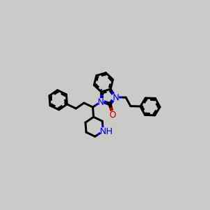 O=c1n(CCc2ccccc2)c2ccccc2n1C(CCc1ccccc1)C1CCCNC1